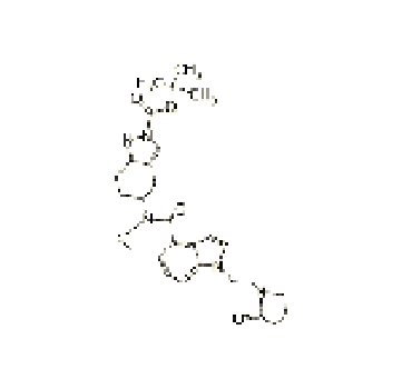 CC(C)(C)OC(=O)n1cc2c(n1)CCC(N(C(=O)c1cccc3c1ccn3CCN1CCCC1=O)C1CC1)C2